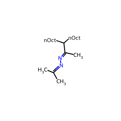 CCCCCCCCC(CCCCCCCC)/C(C)=N/N=C(C)C